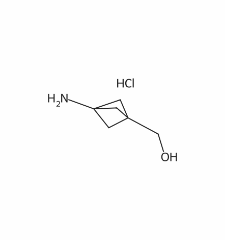 Cl.NC12CC(CO)(C1)C2